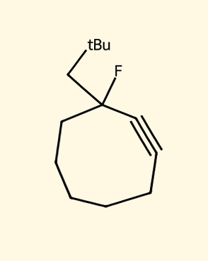 CC(C)(C)CC1(F)C#CCCCCC1